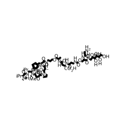 CC[C@H](C)[C@@H]([C@@H](CC(=O)N1CCC[C@H]1[C@H](OC)[C@@H](C)C(=O)N[C@@H](Cc1ccccc1)C(=O)NCCCOC(=O)C(C)NC(=O)CC(NC(=O)CCNC(=O)OCC(NC(=O)CN)C(=O)NC[C@H](O)[C@@H](O)[C@H](O)[C@H](O)CO)C(=O)O)OC)N(C)C(=O)[C@@H](NC(=O)[C@H](C(C)C)N(C)C)C(C)C